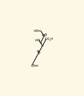 CCCCCCCCCCCCCCCCCCCCCCCCCOC(=O)CCCCCCCN(CCCCCCCC(=O)O)CCCN(CCO)CCCCCCCC(=C=O)OCCCCCCCCCCCCCCC